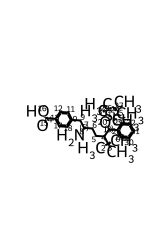 CC(C)(C)C(CC[C@H](N)Cc1ccc(C(=O)O)cc1)[C@H](O[Si](C)(C)C(C)(C)C)c1ccccc1